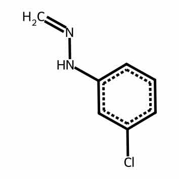 C=NNc1cccc(Cl)c1